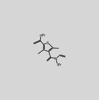 C=CN(C(=C)c1c(C)sc(C(=C)CCC)c1C)C(C)C